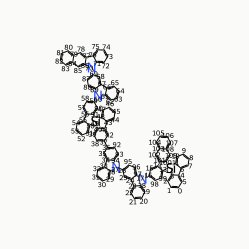 c1ccc2c(c1)-c1ccccc1[Si]2(c1ccc(-n2c3ccccc3c3cc(-n4c5ccccc5c5cc(-c6ccc7c(c6)-c6ccccc6[Si]76c7ccccc7-c7ccc(-n8c9ccccc9c9cc(-n%10c%11ccccc%11c%11cc%12ccccc%12cc%11%10)ccc98)cc76)ccc54)ccc32)cc1)c1ccc2ccccc2c1